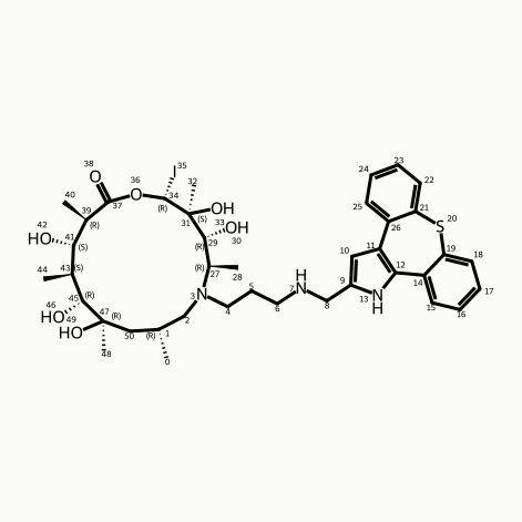 C[C@H]1CN(CCCNCc2cc3c([nH]2)-c2ccccc2Sc2ccccc2-3)[C@H](C)[C@@H](O)[C@](C)(O)[C@@H](I)OC(=O)[C@H](C)[C@@H](O)[C@H](C)[C@@H](O)[C@](C)(O)C1